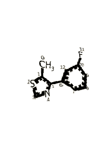 Cc1s[c]nc1-c1cccc(F)c1